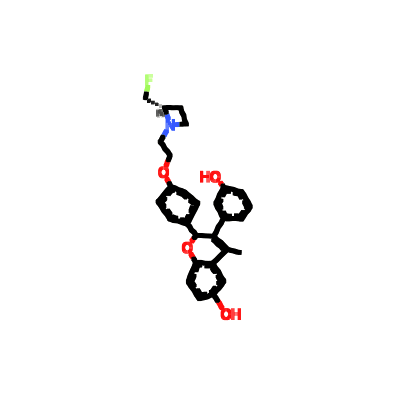 CC1=C(c2cccc(O)c2)C(c2ccc(OCCN3CC[C@H]3CF)cc2)Oc2ccc(O)cc21